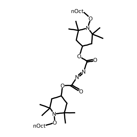 CCCCCCCCON1C(C)(C)CC(OC(=O)N=NC(=O)OC2CC(C)(C)N(OCCCCCCCC)C(C)(C)C2)CC1(C)C